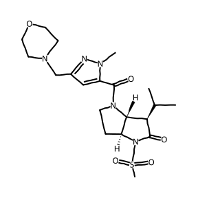 CC(C)[C@H]1C(=O)N(S(C)(=O)=O)[C@H]2CCN(C(=O)c3cc(CN4CCOCC4)nn3C)[C@H]12